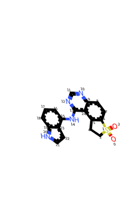 O=S1(=O)CCc2c1ccc1ncnc(Nc3cccc4[nH]ccc34)c21